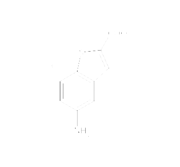 Nc1ccc2sc(C(=O)[O-])cc2c1.[K+]